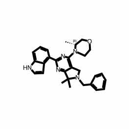 C[C@@H]1COCCN1c1nc(-c2cccc3[nH]ccc23)nc2c1CN(Cc1ccccc1)C2(C)C